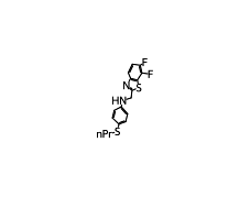 CCCSc1ccc(NCc2nc3ccc(F)c(F)c3s2)cc1